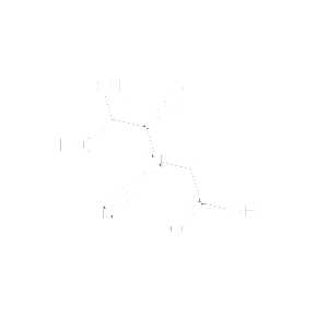 CC(C)C(=O)N(C#N)CC(=O)O